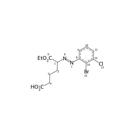 CCOC(=O)C(CCCC(=O)O)N=Nc1cccc(Cl)c1Br